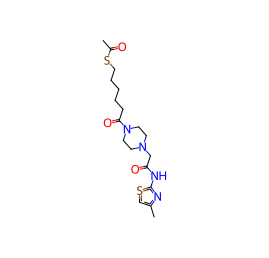 CC(=O)SCCCCCC(=O)N1CCN(CC(=O)Nc2nc(C)cs2)CC1